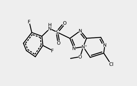 CO[N+]12C=C(Cl)N=CC1=NC(S(=O)(=O)Nc1c(F)cccc1F)=N2